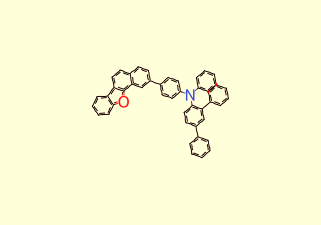 c1ccc(-c2ccc(N(c3ccccc3)c3ccc(-c4ccc5ccc6c7ccccc7oc6c5c4)cc3)c(-c3ccccc3)c2)cc1